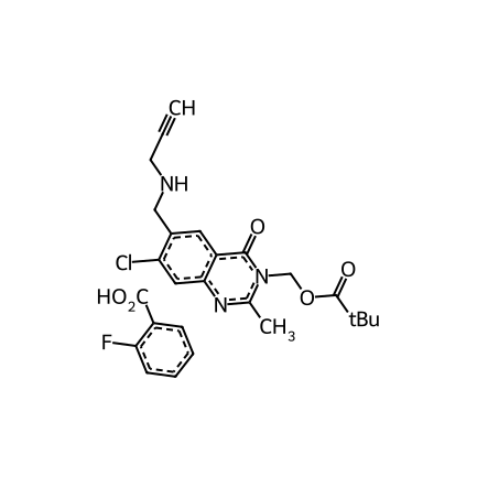 C#CCNCc1cc2c(=O)n(COC(=O)C(C)(C)C)c(C)nc2cc1Cl.O=C(O)c1ccccc1F